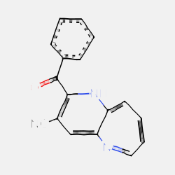 N#CC1=C(C(=O)c2ccccc2)NC2=CC=CC=NC2=C1